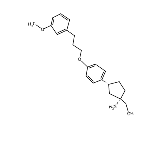 COc1cccc(CCCOc2ccc([C@@H]3CC[C@@](N)(CO)C3)cc2)c1